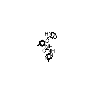 Cc1ccc(OC[C@@H]2COCCN2)c(NC(=O)Nc2cnc(C)cn2)c1